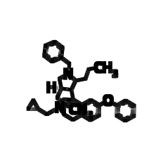 CCCC1C2[C@H](CN1Cc1ccccc1)CC1(C)C3Cc4ccc(Oc5ccccc5)cc4C21CCN3CC1CC1